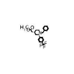 COC(=O)C[C@H]1CCN(Cc2ccccc2)[C@@H](c2ccc(C(F)(F)F)cc2)C1